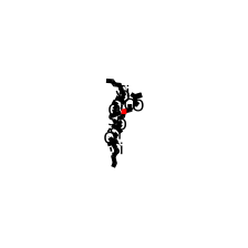 C=C(C)C(=O)OCCC[Si](C)(OC(C)(C)[Si](C)(C)OC(C)(C)[Si](C)(C)CCCC)C(C)(C)O[Si](C)(C)C(C)(C)O[Si](C)(C)CCCC